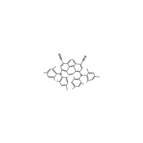 Cc1cc(C)c(B(c2c(C)cc(C)cc2C)c2cc(C#N)c3ccc4c(C#N)cc(B(c5c(C)cc(C)cc5C)c5c(C)cc(C)cc5C)c5ccc2c3c45)c(C)c1